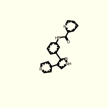 O=C(Nc1cccc(-c2n[nH]cc2-c2ccncc2)c1)c1ccccn1